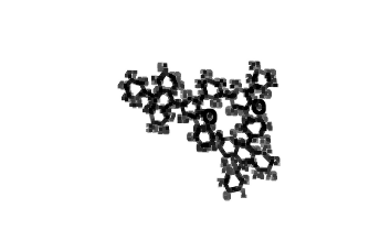 c1ccc(-c2c3ccccc3c(-c3ccc4oc5c(-c6ccccc6)cc(-c6cccc(-c7cc(-c8c9ccccc9c(-c9ccccc9)c9ccccc89)cc8c7oc7ccccc78)c6)cc5c4c3)c3ccccc23)cc1